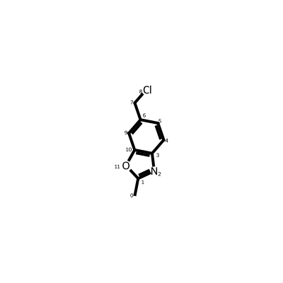 Cc1nc2ccc(CCl)cc2o1